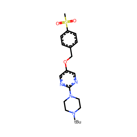 CC(C)(C)N1CCN(c2ncc(OCc3ccc(S(C)(=O)=O)cc3)cn2)CC1